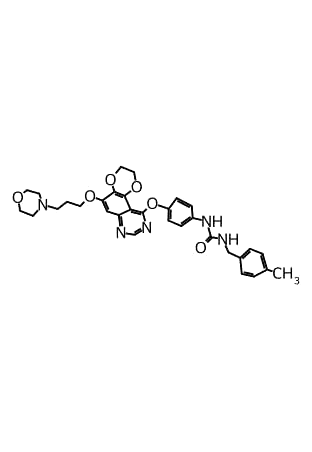 Cc1ccc(CNC(=O)Nc2ccc(Oc3ncnc4cc(OCCCN5CCOCC5)c5c(c34)OCCO5)cc2)cc1